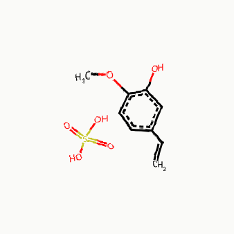 C=Cc1ccc(OC)c(O)c1.O=S(=O)(O)O